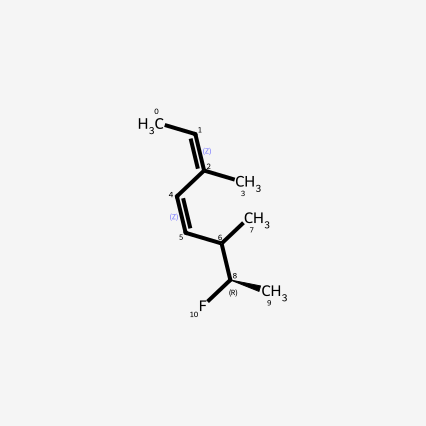 C/C=C(C)\C=C/C(C)[C@@H](C)F